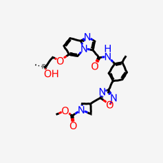 COC(=O)N1CC(c2nc(-c3ccc(C)c(NC(=O)c4cnc5ccc(OC[C@@H](C)O)cn45)c3)no2)C1